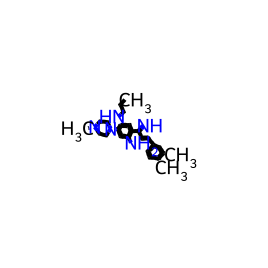 CCCNc1cc(C(=N)/C=C/c2ccc(C)c(C)c2)c(N)cc1N1CCN(C)CC1